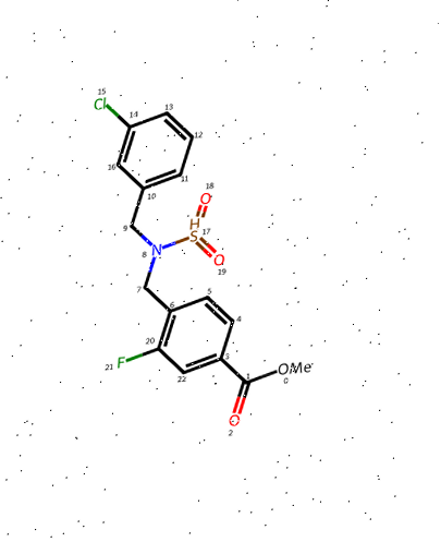 COC(=O)c1ccc(CN(Cc2cccc(Cl)c2)[SH](=O)=O)c(F)c1